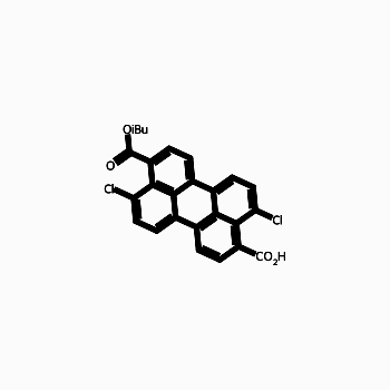 CC(C)COC(=O)c1ccc2c3ccc(Cl)c4c(C(=O)O)ccc(c5ccc(Cl)c1c52)c43